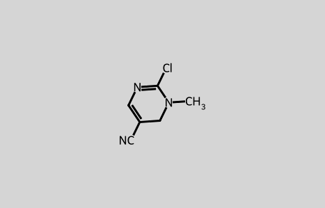 CN1CC(C#N)=CN=C1Cl